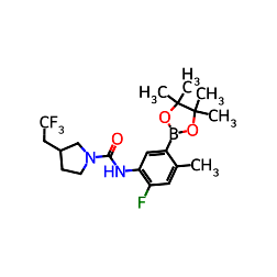 Cc1cc(F)c(NC(=O)N2CCC(CC(F)(F)F)C2)cc1B1OC(C)(C)C(C)(C)O1